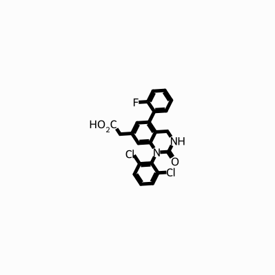 O=C(O)Cc1cc(-c2ccccc2F)c2c(c1)N(c1c(Cl)cccc1Cl)C(=O)NC2